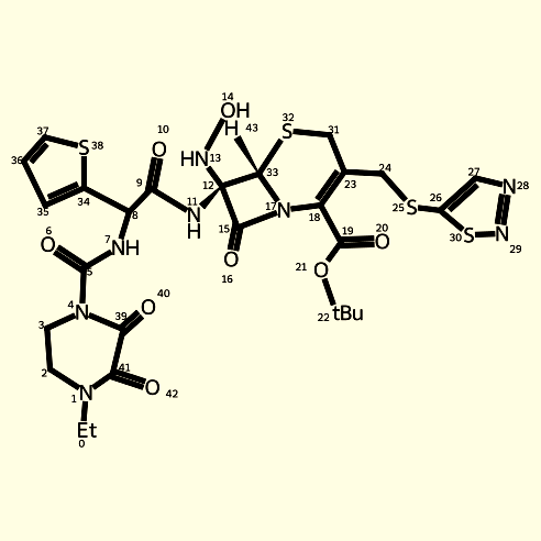 CCN1CCN(C(=O)NC(C(=O)N[C@]2(NO)C(=O)N3C(C(=O)OC(C)(C)C)=C(CSc4cnns4)CS[C@H]32)c2cccs2)C(=O)C1=O